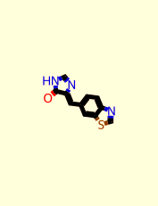 O=C1NC=N/C1=C\c1ccc2ncsc2c1